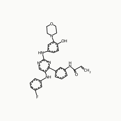 C=CC(=O)Nc1cccc(-c2nc(Nc3ccc(O)c(N4CCOCC4)c3)ncc2Nc2cccc(F)c2)c1